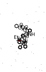 CCOC1Nc2cccc(C(=O)OC(C)OC(=O)OC3CCCCC3)c2N1Cc1ccc(-c2c(-c3nnnn3C(c3ccccc3)(c3ccccc3)c3ccccc3)cc(C)n2CC)cc1